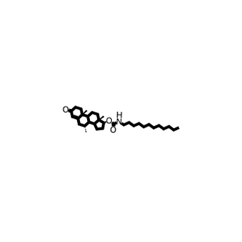 CCCCCCCCCCCCNC(=O)O[C@H]1CCC2C3C(CC[C@@]21C)[C@@]1(C)CCC(=O)C=C1C[C@H]3C